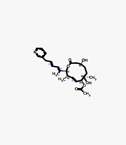 CC(=O)O[C@H]1/C=C/[C@H](C)[C@@H](/C(C)=C/C=C/Cc2cccnc2)OC(=O)C[C@H](O)CC[C@@]1(C)O